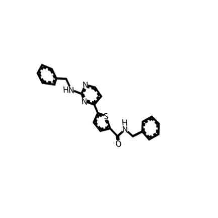 O=C(NCc1ccccc1)c1ccc(-c2ccnc(NCc3ccccc3)n2)s1